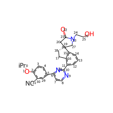 CC(C)Oc1ccc(-c2ccnc(-c3cccc4c3CC[C@@]43CC(=O)N(CCO)C3)n2)cc1C#N